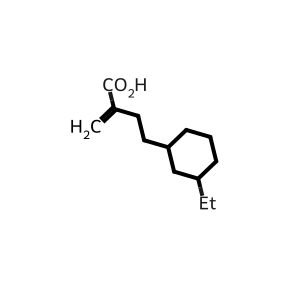 C=C(CCC1CCCC(CC)C1)C(=O)O